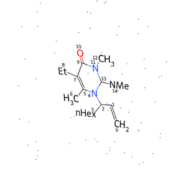 C=CC(CCCCCC)N1C(C)=C(CC)C(=O)N(C)C1NC